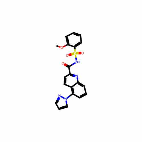 COc1ccccc1S(=O)(=O)NC(=O)c1ccc2c(-n3cccn3)cccc2n1